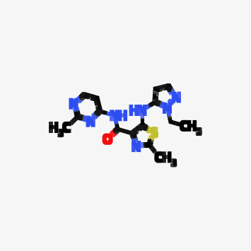 CCn1nccc1Nc1sc(C)nc1C(=O)Nc1ccnc(C)n1